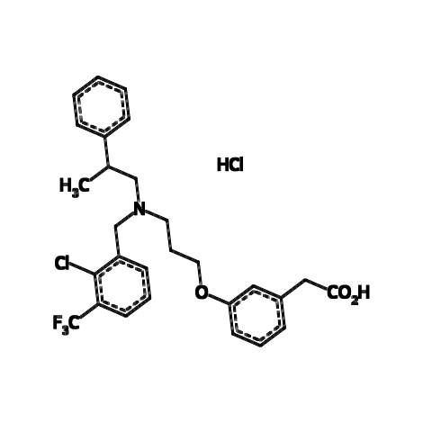 CC(CN(CCCOc1cccc(CC(=O)O)c1)Cc1cccc(C(F)(F)F)c1Cl)c1ccccc1.Cl